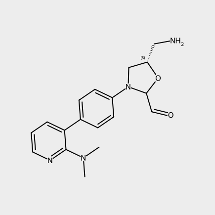 CN(C)c1ncccc1-c1ccc(N2C[C@H](CN)OC2C=O)cc1